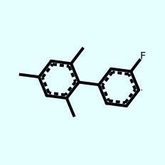 Cc1cc(C)c(-c2cc[c]c(F)c2)c(C)c1